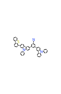 N#Cc1cc(-c2ccc3c(c2)c2ccccc2n3-c2ccccc2)cc(-c2ccc3c(c2)c2ccc(-c4cccc5c4sc4ccccc45)cc2n3-c2ccccc2)c1